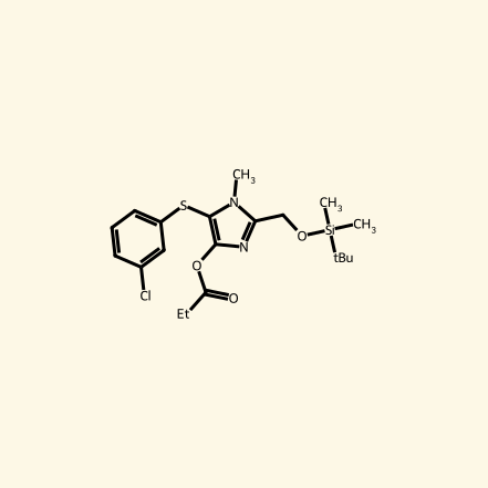 CCC(=O)Oc1nc(CO[Si](C)(C)C(C)(C)C)n(C)c1Sc1cccc(Cl)c1